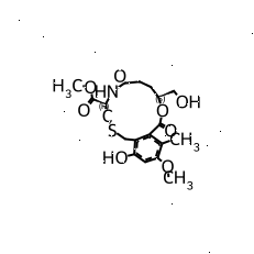 COC(=O)[C@@H]1CSCc2c(O)cc(OC)c(C)c2C(=O)O[C@H](CO)CCC(=O)N1